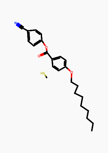 CCCCCCCCCOc1ccc(C(=O)Oc2ccc(C#N)cc2)cc1.CS